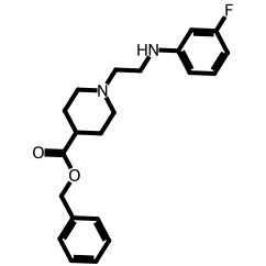 O=C(OCc1ccccc1)C1CCN(CCNc2cccc(F)c2)CC1